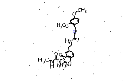 CNC(=O)NS(=O)(=O)c1cc(CCNC(=O)/C=C/c2ccc(OC)cc2OC)ccc1OC